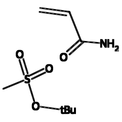 C=CC(N)=O.CC(C)(C)OS(C)(=O)=O